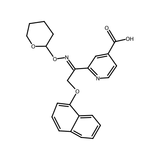 O=C(O)c1ccnc(/C(COc2cccc3ccccc23)=N/OC2CCCCO2)c1